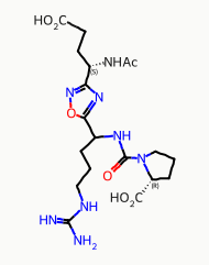 CC(=O)N[C@@H](CCC(=O)O)c1noc(C(CCCNC(=N)N)NC(=O)N2CCC[C@@H]2C(=O)O)n1